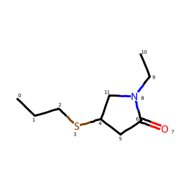 CCCSC1CC(=O)N(CC)C1